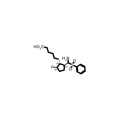 NC([C@H]1CC[C@@H](F)[C@@H]1CCCCCC(=O)O)S(=O)(=O)c1ccccc1